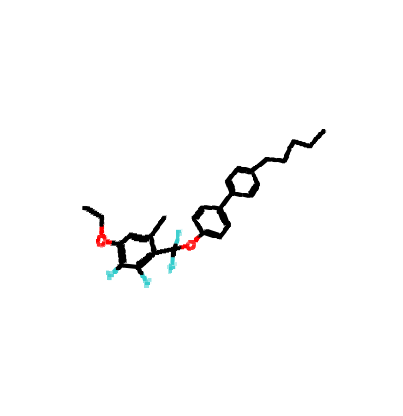 CCCCCc1ccc(-c2ccc(OC(F)(F)c3c(C)cc(OCC)c(F)c3F)cc2)cc1